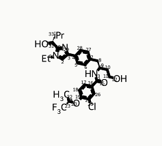 CCn1cc(-c2ccc(C[C@@H](CCO)NC(=O)c3ccc(O[C@H](C)C(F)(F)F)c(Cl)c3)cc2)nc1[C@H](O)C(C)C